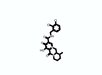 CC1CCCN2C(=O)c3c(O)c(=O)c(C(=O)NCc4cccc(Cl)c4Cl)cn3CC12